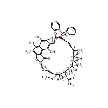 CO[C@H]1/C=C/O[C@@]2(C)Oc3c(C)c(O)c4c(O)c(c(/C=N/OC(c5ccccc5)c5ccccc5)c(O)c4c3C2=O)NC(=O)/C(C)=C\C=C\[C@H](C)[C@H](O)[C@@H](C)[C@@H](O)[C@@H](C)[C@H](OC(C)=O)[C@@H]1C